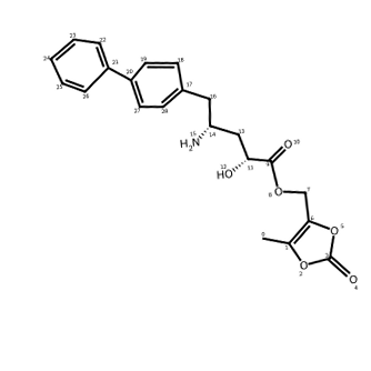 Cc1oc(=O)oc1COC(=O)[C@H](O)C[C@H](N)Cc1ccc(-c2ccccc2)cc1